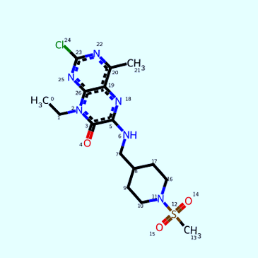 CCn1c(=O)c(NCC2CCN(S(C)(=O)=O)CC2)nc2c(C)nc(Cl)nc21